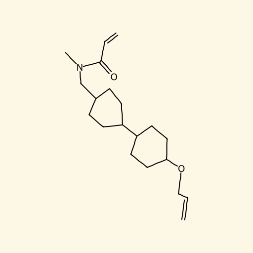 C=CCOC1CCC(C2CCC(CN(C)C(=O)C=C)CC2)CC1